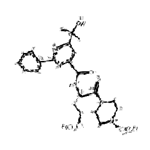 CCOC(=O)CC[C@H](NC(=O)c1cc(C(C)(C)O)nc(-c2ccccc2)n1)C(=O)N1CCN(C(=O)OCC)CC1